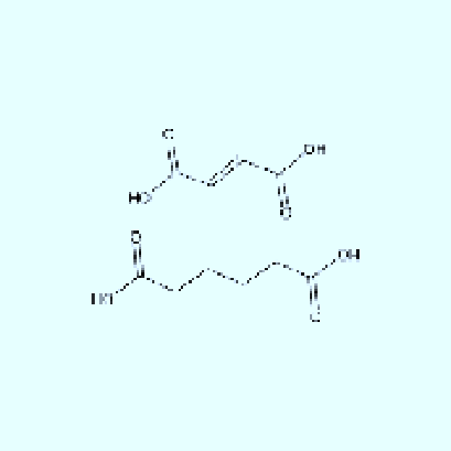 O=C(O)C=CC(=O)O.O=C(O)CCCCC(=O)O